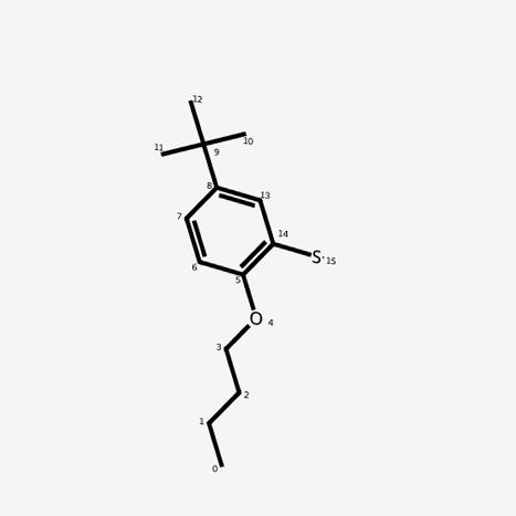 CCCCOc1ccc(C(C)(C)C)cc1[S]